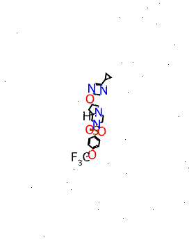 O=S(=O)(c1ccc(OC(F)(F)F)cc1)N1CCN2C[C@H](Oc3cnc(C4CC4)cn3)C[C@H]2C1